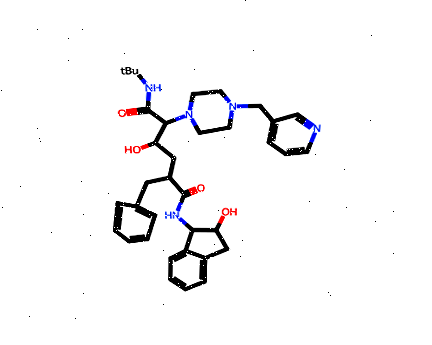 CC(C)(C)NC(=O)C(C(O)CC(Cc1ccccc1)C(=O)NC1c2ccccc2CC1O)N1CCN(Cc2cccnc2)CC1